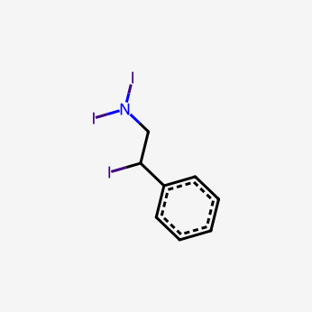 IC(CN(I)I)c1ccccc1